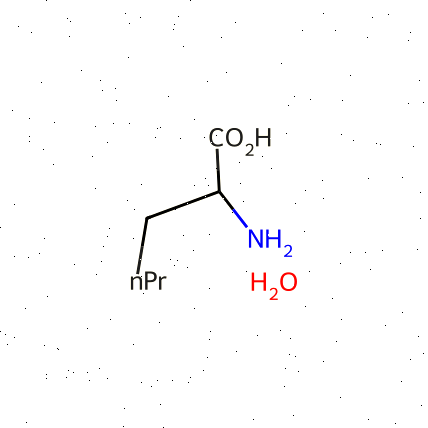 CCCCC(N)C(=O)O.O